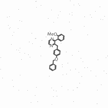 COc1ccccc1-c1nccnc1Cc1ccc(OCc2ccccc2)cc1